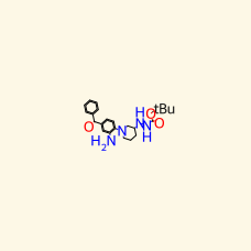 CC(C)(C)OC(=O)NNC1CCCN(c2ccc(C(=O)c3ccccc3)cc2N)C1